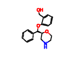 OCc1ccccc1OC(c1ccccc1)[C@@H]1CNCCO1